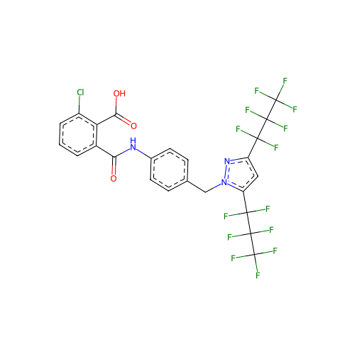 O=C(Nc1ccc(Cn2nc(C(F)(F)C(F)(F)C(F)(F)F)cc2C(F)(F)C(F)(F)C(F)(F)F)cc1)c1cccc(Cl)c1C(=O)O